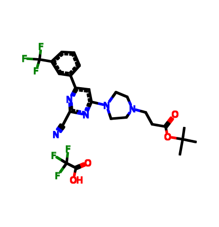 CC(C)(C)OC(=O)CCN1CCN(c2cc(-c3cccc(C(F)(F)F)c3)nc(C#N)n2)CC1.O=C(O)C(F)(F)F